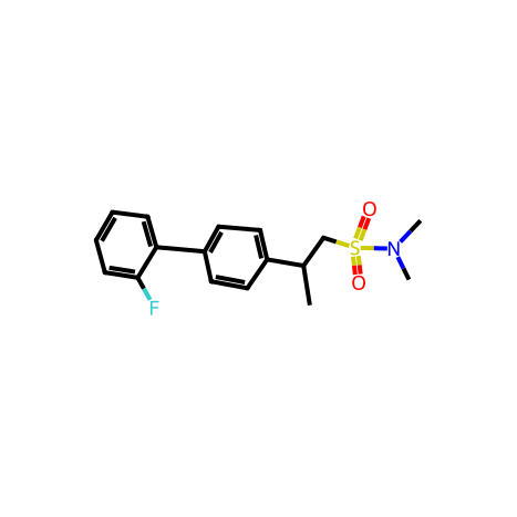 CC(CS(=O)(=O)N(C)C)c1ccc(-c2ccccc2F)cc1